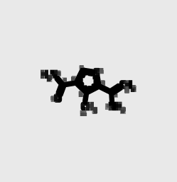 C=C(N)c1scc(C(N)=O)c1C